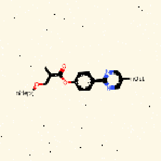 CCCCCCCCc1cnc(-c2ccc(OC(=O)C(C)COCCCCCCC)cc2)nc1